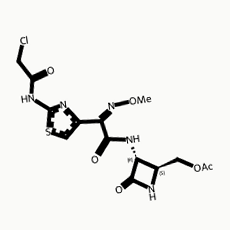 CON=C(C(=O)N[C@H]1C(=O)N[C@@H]1COC(C)=O)c1csc(NC(=O)CCl)n1